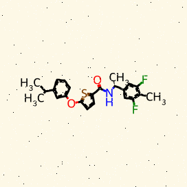 Cc1c(F)cc([C@@H](C)NC(=O)c2ccc(Oc3cccc(C(C)C)c3)s2)cc1F